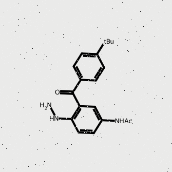 CC(=O)Nc1ccc(NN)c(C(=O)c2ccc(C(C)(C)C)cc2)c1